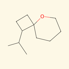 CC(C)C1CCC12CCCCO2